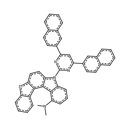 CN(C)c1cccc2c1c1c3c(ccc1n2-c1nc(-c2ccc4ccccc4c2)cc(-c2ccc4ccccc4c2)n1)sc1ccccc13